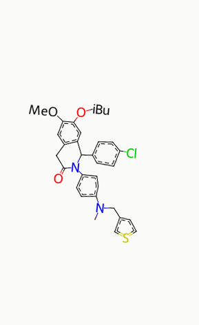 CCC(C)Oc1cc2c(cc1OC)CC(=O)N(c1ccc(N(C)Cc3ccsc3)cc1)C2c1ccc(Cl)cc1